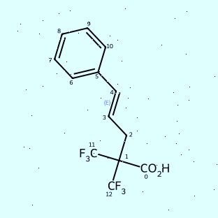 O=C(O)C(C/C=C/c1ccccc1)(C(F)(F)F)C(F)(F)F